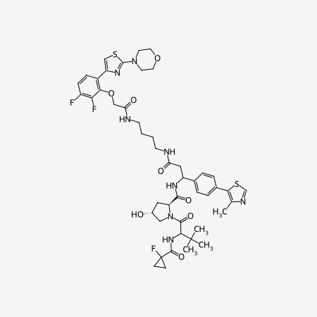 Cc1ncsc1-c1ccc(C(CC(=O)NCCCCNC(=O)COc2c(-c3csc(N4CCOCC4)n3)ccc(F)c2F)NC(=O)[C@@H]2C[C@@H](O)CN2C(=O)C(NC(=O)C2(F)CC2)C(C)(C)C)cc1